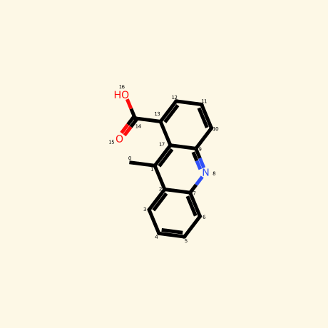 Cc1c2ccccc2nc2cccc(C(=O)O)c12